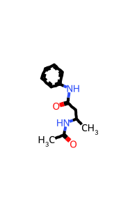 CC(=O)NC(C)CC(=O)Nc1ccccc1